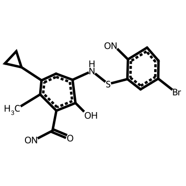 Cc1c(C2CC2)cc(NSc2cc(Br)ccc2N=O)c(O)c1C(=O)N=O